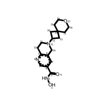 O=C(NO)c1cnc2c(c1)CN(C1CC3(CCOCC3)C1)CC2